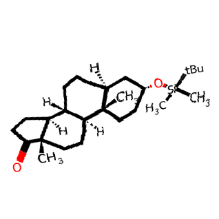 CC(C)(C)[Si](C)(C)O[C@@H]1CC[C@@]2(C)[C@@H](CC[C@@H]3[C@@H]2CC[C@]2(C)C(=O)CC[C@@H]32)C1